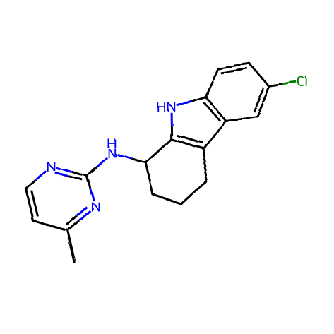 Cc1ccnc(NC2CCCc3c2[nH]c2ccc(Cl)cc32)n1